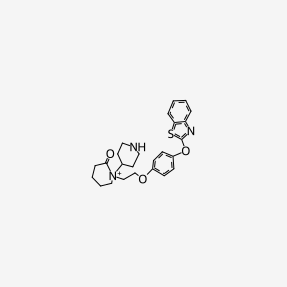 O=C1CCCC[N+]1(CCOc1ccc(Oc2nc3ccccc3s2)cc1)C1CCNCC1